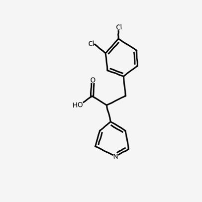 O=C(O)C(Cc1ccc(Cl)c(Cl)c1)c1ccncc1